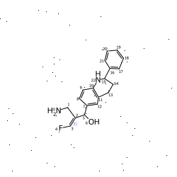 NC/C(=C\F)C(O)c1ccc2c(c1)CCC(c1ccccc1)N2